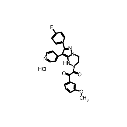 COc1cccc(C(=O)C(=O)N2CCn3nc(-c4ccc(F)cc4)c(-c4ccncc4)c3N2)c1.Cl